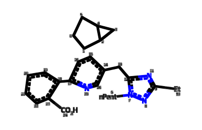 C1CC2CC2C1.CCCCCn1nc(CC)nc1Cc1ccc(-c2ccccc2C(=O)O)nc1